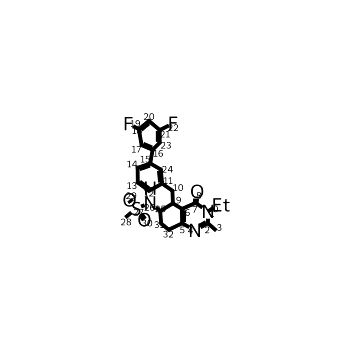 CCn1c(C)nc2c(c1=O)C(Cc1cccc(-c3cc(F)cc(F)c3)c1)C(NS(C)(=O)=O)CC2